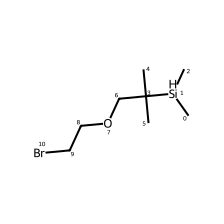 C[SiH](C)C(C)(C)COCCBr